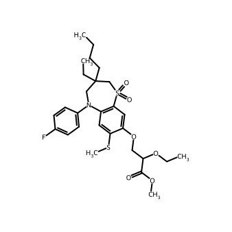 CCCCC1(CC)CN(c2ccc(F)cc2)c2cc(SC)c(OCC(OCC)C(=O)OC)cc2S(=O)(=O)C1